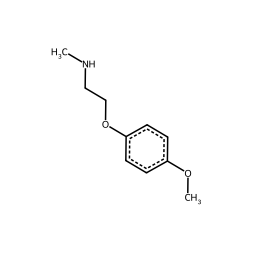 CNCCOc1ccc(OC)cc1